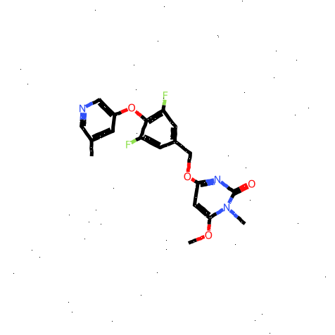 COc1cc(OCc2cc(F)c(Oc3cncc(C)c3)c(F)c2)nc(=O)n1C